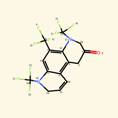 O=C1Cc2c3c(cc(C(F)(F)F)c2N(C(F)(F)F)C1)N(C(F)(F)F)CC=C3